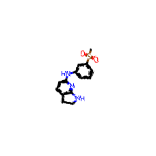 CS(=O)(=O)c1cccc(Nc2ccc3c(n2)NCC3)c1